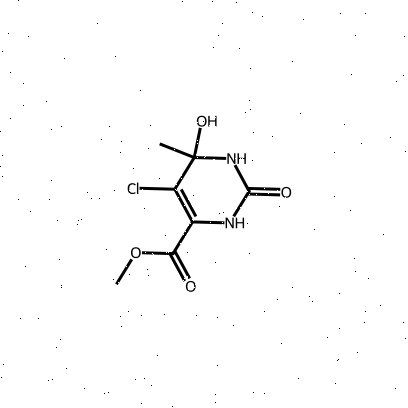 COC(=O)C1=C(Cl)C(C)(O)NC(=O)N1